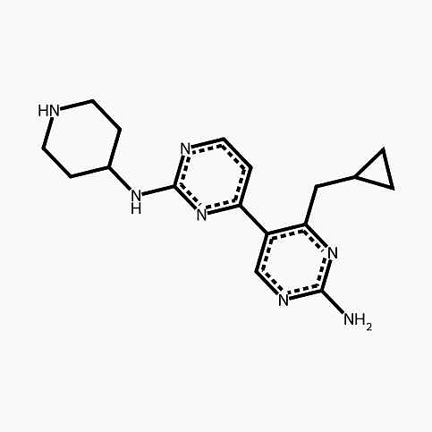 Nc1ncc(-c2ccnc(NC3CCNCC3)n2)c(CC2CC2)n1